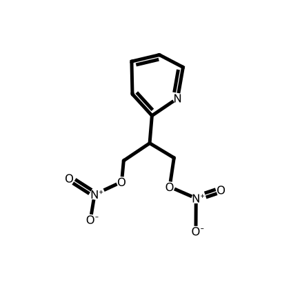 O=[N+]([O-])OCC(CO[N+](=O)[O-])c1ccccn1